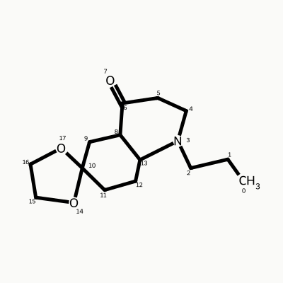 CCCN1CCC(=O)C2CC3(CCC21)OCCO3